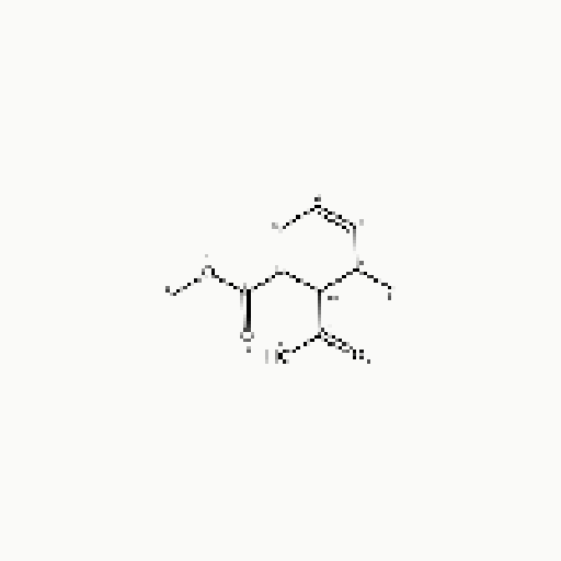 COC(=O)C1CC=CC(C)C1C(=O)O